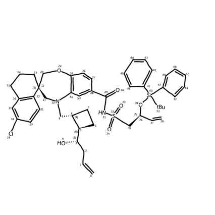 C=CC[C@H](O)[C@@H]1CC[C@H]1CN1C[C@@]2(CCCc3cc(Cl)ccc32)COc2ccc(C(=O)NS(=O)(=O)C[C@H](C=C)O[Si](c3ccccc3)(c3ccccc3)C(C)(C)C)cc21